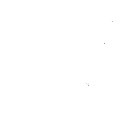 COc1nc(N2CCNCC2)ccc1NS(=O)(=O)c1ccc([C@@H](C)C(F)F)cc1